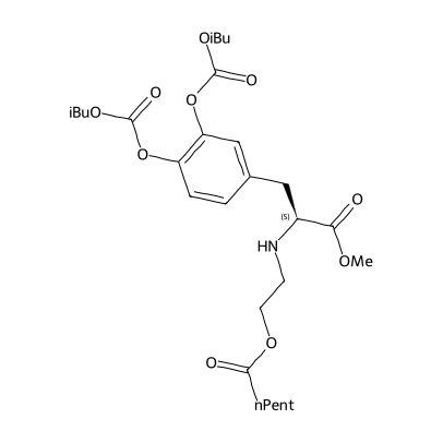 CCCCCC(=O)OCCN[C@@H](Cc1ccc(OC(=O)OCC(C)C)c(OC(=O)OCC(C)C)c1)C(=O)OC